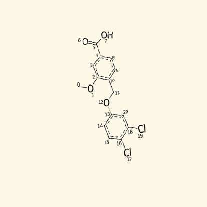 COc1cc(C(=O)O)ccc1COc1ccc(Cl)c(Cl)c1